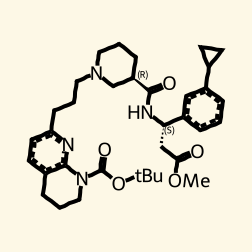 COC(=O)C[C@H](NC(=O)[C@@H]1CCCN(CCCc2ccc3c(n2)N(C(=O)OC(C)(C)C)CCC3)C1)c1cccc(C2CC2)c1